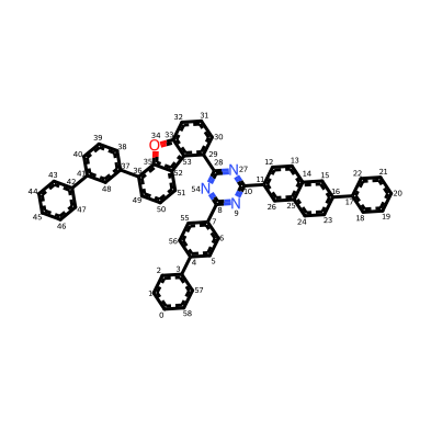 c1ccc(-c2ccc(-c3nc(-c4ccc5cc(-c6ccccc6)ccc5c4)nc(-c4cccc5oc6c(-c7cccc(-c8ccccc8)c7)cccc6c45)n3)cc2)cc1